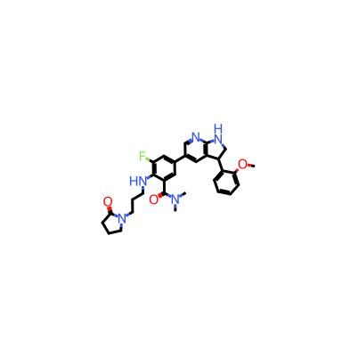 COc1ccccc1C1CNc2ncc(-c3cc(F)c(NCCCN4CCCC4=O)c(C(=O)N(C)C)c3)cc21